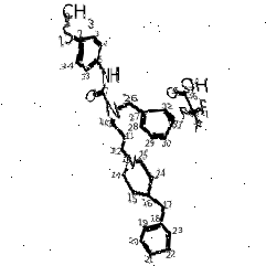 CSc1ccc(NC(=O)N(CCCN2CCC(Cc3ccccc3)CC2)Cc2ccccc2)cc1.O=C(O)C(F)(F)F